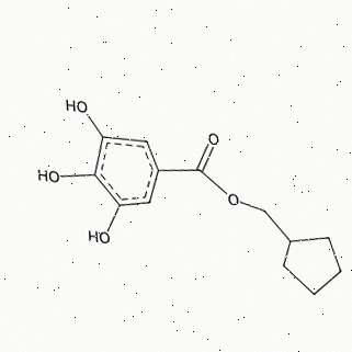 O=C(OCC1CCCC1)c1cc(O)c(O)c(O)c1